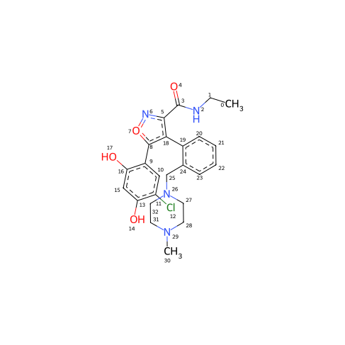 CCNC(=O)c1noc(-c2cc(Cl)c(O)cc2O)c1-c1ccccc1CN1CCN(C)CC1